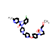 COCCN1CCCN(c2ccc(Oc3ccc(CN4CCC(N(C(=O)Nc5ccc(C)nc5)c5cccc(F)c5)CC4)cn3)cc2)S1(=O)=O